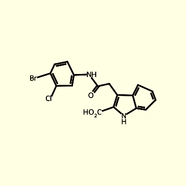 O=C(Cc1c(C(=O)O)[nH]c2ccccc12)Nc1ccc(Br)c(Cl)c1